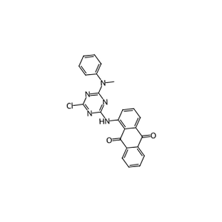 CN(c1ccccc1)c1nc(Cl)nc(Nc2cccc3c2C(=O)c2ccccc2C3=O)n1